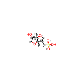 O=S(=O)(O)C[C@@H]1CO[C@H]2[C@H]1OC[C@H]2O